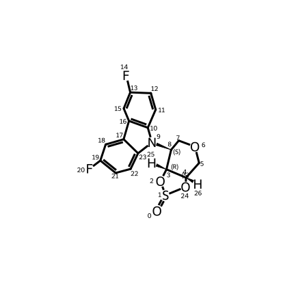 O=S1O[C@H]2[C@H](COC[C@@H]2n2c3ccc(F)cc3c3cc(F)ccc32)O1